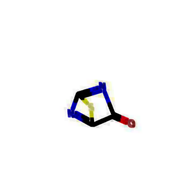 O=C1N=C2N=C1S2